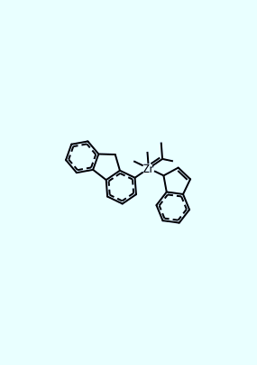 C[C](C)=[Zr]([CH3])([CH3])([c]1cccc2c1Cc1ccccc1-2)[CH]1C=Cc2ccccc21